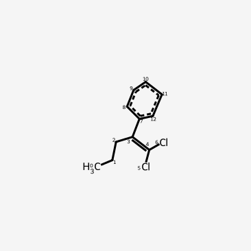 CCCC(=C(Cl)Cl)c1ccccc1